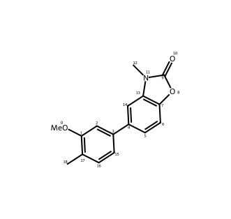 COc1cc(-c2ccc3oc(=O)n(C)c3c2)ccc1C